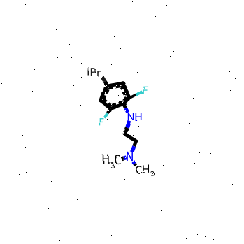 CC(C)c1cc(F)c(NCCN(C)C)c(F)c1